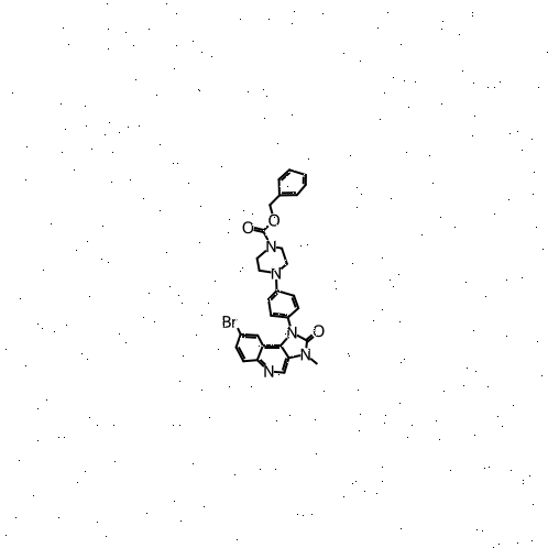 Cn1c(=O)n(-c2ccc(N3CCN(C(=O)OCc4ccccc4)CC3)cc2)c2c3cc(Br)ccc3ncc21